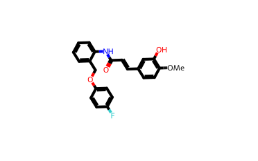 COc1ccc(C=CC(=O)Nc2ccccc2COc2ccc(F)cc2)cc1O